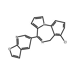 Clc1cccc2c1CN=C(c1cnc3occc3c1)c1cccn1-2